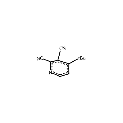 CC(C)(C)c1ccnc(C#N)c1C#N